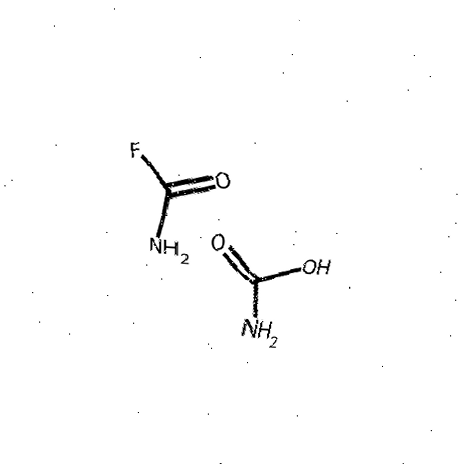 NC(=O)F.NC(=O)O